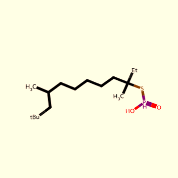 CCC(C)(CCCCCC(C)CC(C)(C)C)S[PH](=O)O